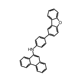 c1ccc2c(c1)cc(Nc1ccc(-c3ccc4oc5ccccc5c4c3)cc1)c1ccccc12